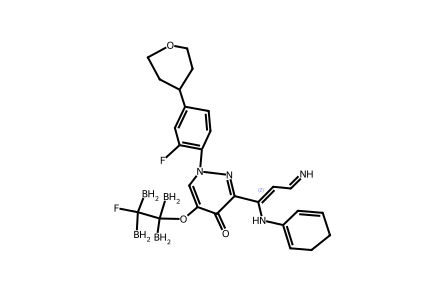 BC(B)(F)C(B)(B)Oc1cn(-c2ccc(C3CCOCC3)cc2F)nc(/C(=C/C=N)NC2=CCCC=C2)c1=O